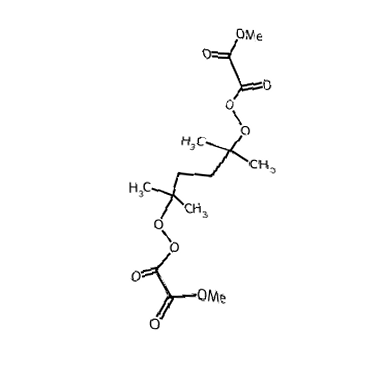 COC(=O)C(=O)OOC(C)(C)CCC(C)(C)OOC(=O)C(=O)OC